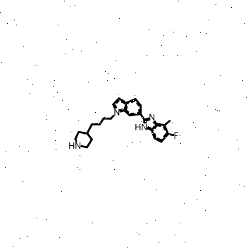 Cc1c(F)ccc2[nH]c(-c3ccc4ccn(CCCCC5CCNCC5)c4c3)nc12